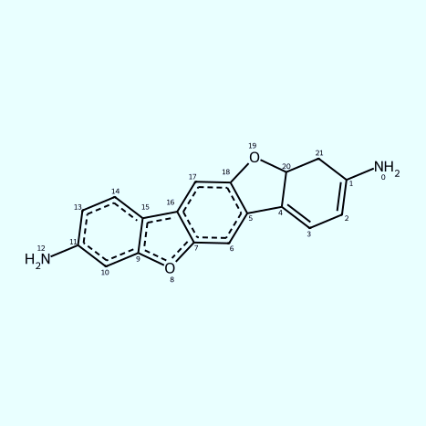 NC1=CC=C2c3cc4oc5cc(N)ccc5c4cc3OC2C1